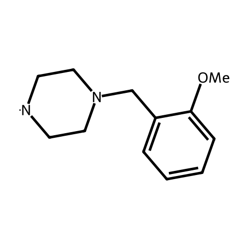 COc1ccccc1CN1CC[N]CC1